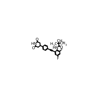 CC(C)(C)C(=O)Nc1c(F)cc(F)cc1C#Cc1ccc(C2CC(=O)NC(=O)C2)cc1